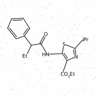 CCOC(=O)c1nc(C(C)C)sc1NC(=O)C(CC)c1ccccc1